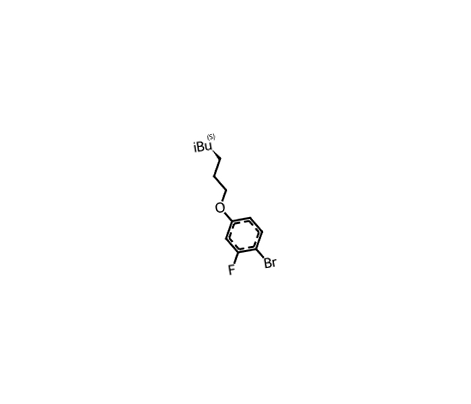 CC[C@H](C)CCCOc1ccc(Br)c(F)c1